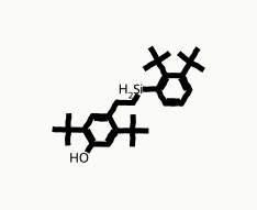 CC(C)(C)c1cc(CC[SiH2]c2cccc(C(C)(C)C)c2C(C)(C)C)c(C(C)(C)C)cc1O